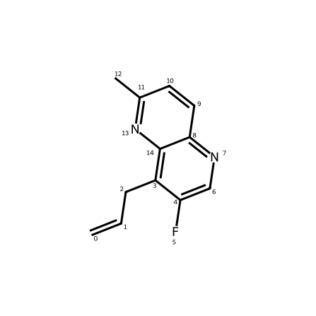 C=CCc1c(F)cnc2ccc(C)nc12